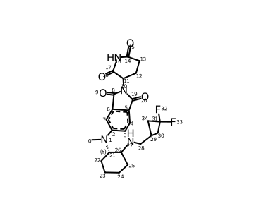 CN(c1ccc2c(c1)C(=O)N(C1CCC(=O)NC1=O)C2=O)[C@H]1CCCCC1NCC1CC(F)(F)C1